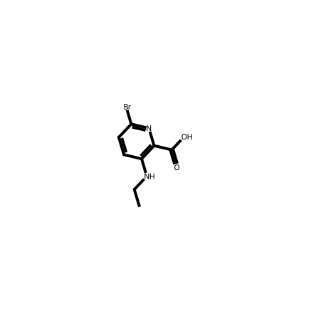 CCNc1ccc(Br)nc1C(=O)O